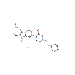 CN1CCCc2c(c3ccc(N4CCN(CCc5ccc(F)cc5)CC4=O)cc3n2C)C1.Cl